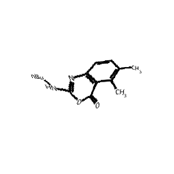 CCCCNc1nc2ccc(C)c(C)c2c(=O)o1